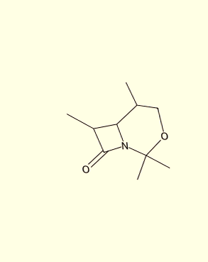 CC1COC(C)(C)N2C(=O)C(C)C12